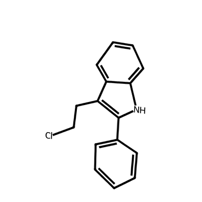 ClCCc1c(-c2ccccc2)[nH]c2ccccc12